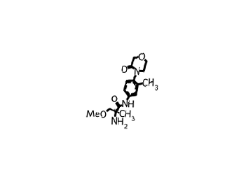 COC[C@@](C)(N)C(=O)Nc1ccc(N2CCOCC2=O)c(C)c1